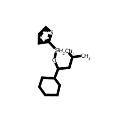 CC(C)CC(O[SiH2]c1cccs1)C1CCCCC1